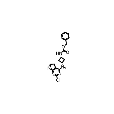 CN(c1nc(Cl)nc2[nH]ccc12)[C@H]1C[C@@H](NC(=O)OCc2ccccc2)C1